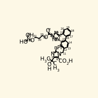 CCCc1nc(C(C)(C)O)c(C(=O)O)n1Cc1ccc(-c2ccccc2-c2nnn(C(=O)OCCCON(O)O)n2)cc1